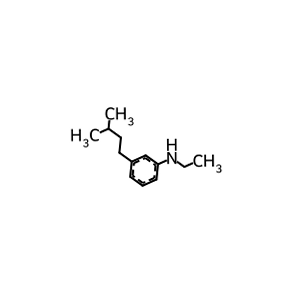 CCNc1cccc(CCC(C)C)c1